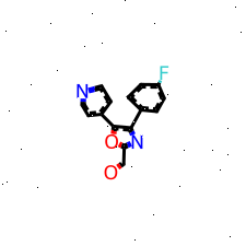 O=Cc1nc(-c2ccc(F)cc2)c(-c2ccncc2)o1